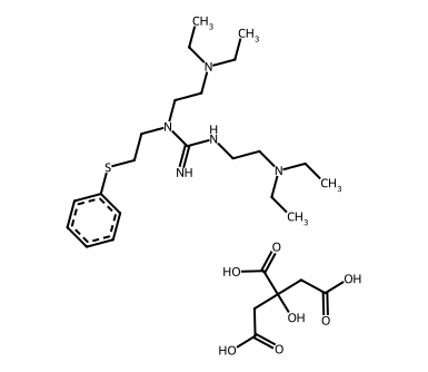 CCN(CC)CCNC(=N)N(CCSc1ccccc1)CCN(CC)CC.O=C(O)CC(O)(CC(=O)O)C(=O)O